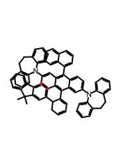 CC1(C)c2ccccc2-c2ccc(C3CC=CC=C3c3c4cc(N5c6ccccc6CCc6ccccc65)ccc4c(-c4cccc5ccccc45)c4cc(N5C6=C(CCC=C6)CCc6ccccc65)ccc34)cc21